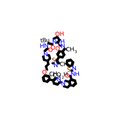 Cc1ncsc1-c1ccc([C@H](C)NC(=O)[C@@H]2C[C@@H](O)CN2C(=O)[C@@H](NC(=O)CN2CCC(CCCOc3cccc(-c4ccc(N5CCc6cccc(C(=O)Nc7nc8ccccc8s7)c6C5)nc4C(=O)O)c3C)CC2)C(C)(C)C)cc1